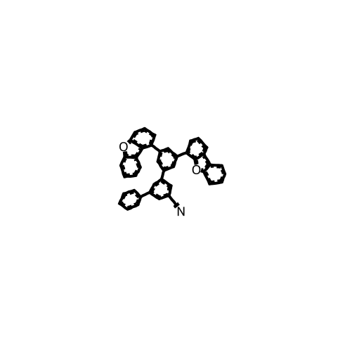 N#Cc1cc(-c2ccccc2)cc(-c2cc(-c3cccc4c3oc3ccccc34)cc(-c3cccc4oc5ccccc5c34)c2)c1